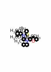 Cc1cc2c3c(c1)N(c1ccc4c(c1)C(C)(C)CCC4(C)C)c1c(sc4ccc(C(C)(C)C)cc14)B3c1cc3c(cc1N2c1cccc2ccccc12)Oc1ccccc1C3(C)C